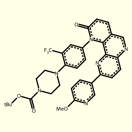 COc1ccc(-c2ccc3ncc4ccc(=O)n(-c5ccc(N6CCN(C(=O)OC(C)(C)C)CC6)c(C(F)(F)F)c5)c4c3n2)cn1